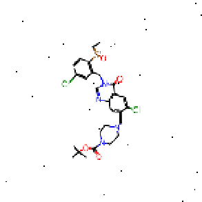 CC[S+]([O-])c1ccc(Cl)cc1Cn1cnc2cc(CN3CCN(C(=O)OC(C)(C)C)CC3)c(Cl)cc2c1=O